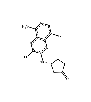 CCc1nc2c(N)ncc(Br)c2nc1N[C@@H]1CCC(=O)C1